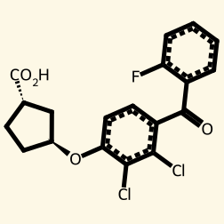 O=C(c1ccccc1F)c1ccc(O[C@H]2CC[C@H](C(=O)O)C2)c(Cl)c1Cl